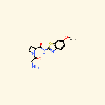 NCC(=O)N1CC[C@H]1C(=O)Nc1nc2ccc(OC(F)(F)F)cc2s1